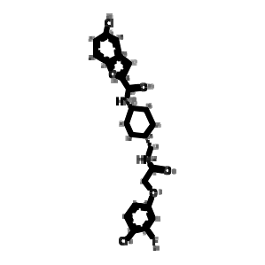 O=C(COc1ccc(Cl)c(F)c1)NC[C@H]1CC[C@H](NC(=O)c2cc3cc(Cl)ccc3o2)CC1